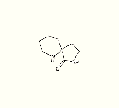 O=C1NCCC12CCCCN2